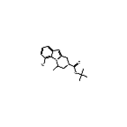 CC1CN(C(=O)OC(C)(C)C)Cc2cc3cccc(Br)c3n21